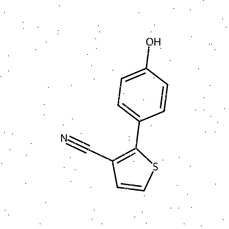 N#Cc1ccsc1-c1ccc(O)cc1